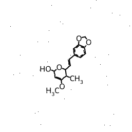 COC1=CC(O)OC(/C=C/c2ccc3c(c2)OCO3)C1C